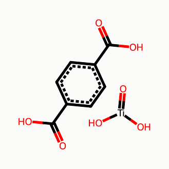 O=C(O)c1ccc(C(=O)O)cc1.[O]=[Ti]([OH])[OH]